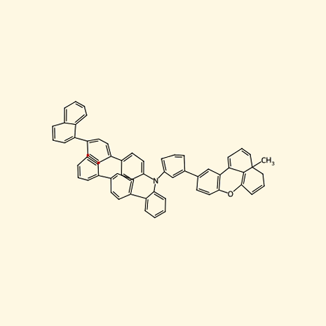 CC12C=CC=C3C1=C(C=CC2)Oc1ccc(-c2cccc(N(c4ccc(-c5ccc(-c6cccc7ccccc67)cc5)cc4)c4ccccc4-c4ccc(-c5ccccc5)cc4)c2)cc13